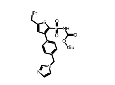 CC(C)Cc1cc(-c2ccc(Cn3ccnc3)cc2)c(S(=O)(=O)NC(=O)OC(C)(C)C)s1